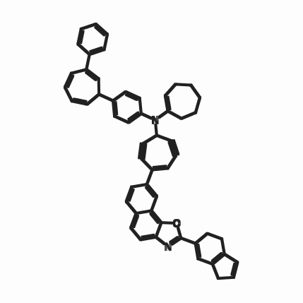 C1#CC(N(C2=CCCCCC2)c2ccc(C3C=CC=CC(c4ccccc4)=C3)cc2)C#CC(c2ccc3ccc4nc(C5=CC6=C(C=CC6)CC5)oc4c3c2)=C1